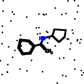 C=C(NC1CCCC1)c1ccccc1